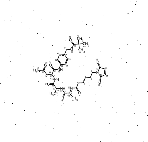 C[C@H](NC(=O)CCCCCN1C(=O)C=CC1=O)C(=O)N[C@@H](C)C(=O)N[C@@H](CC(N)=O)C(=O)Nc1ccc(COC(=O)C(C)(C)C)cc1